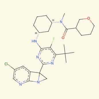 CN(C(=O)C1CCCOC1)[C@H]1CCC[C@@H](Nc2nc(C34CN3c3ncc(Cl)cc34)nc(C(C)(C)C)c2F)C1